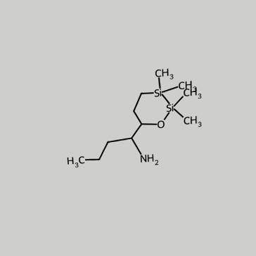 CCCC(N)C1CC[Si](C)(C)[Si](C)(C)O1